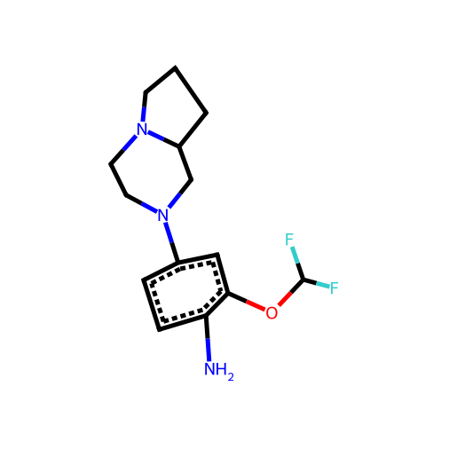 Nc1ccc(N2CCN3CCCC3C2)cc1OC(F)F